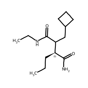 CCC[C@H](C(N)=O)C(CC1CCC1)C(=O)NCC